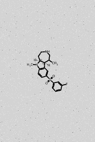 CC1CNCC[C@H]2[C@@H]1c1cc(S(=O)(=O)c3cccc(F)c3)ccc1N2C